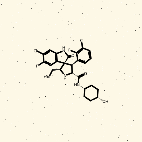 CC(C)(C)C[C@@H]1N[C@@H](C(=O)N[C@H]2CC[C@@H](O)CC2)[C@H](c2cccc(Cl)c2F)[C@]12C(=O)Nc1cc(Cl)c(F)cc12